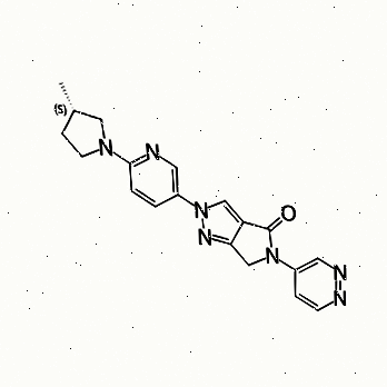 C[C@H]1CCN(c2ccc(-n3cc4c(n3)CN(c3ccnnc3)C4=O)cn2)C1